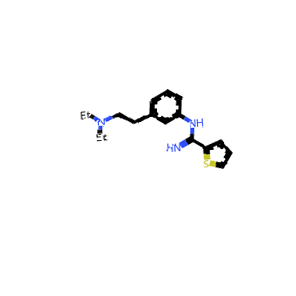 CCN(CC)CCc1cccc(NC(=N)c2cccs2)c1